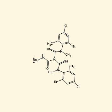 CCc1cc(Cl)cc(C)c1N(C)C(=N)N(C(=N)N(C)c1c(C)cc(Cl)cc1CC)C(=O)NC(C)(C)C.Cl